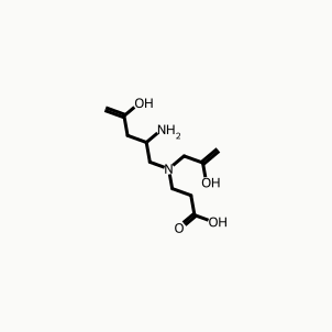 C=C(O)CC(N)CN(CCC(=O)O)CC(=C)O